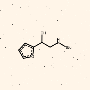 CC(C)(C)NCC(O)c1ccco1